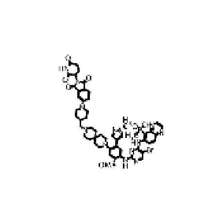 COc1cc(N2CCC3(CCN(CC4CCN(c5ccc6c(c5)C(=O)N(C5CCC(=O)NC5=O)C6=O)CC4)CC3)CC2)c(-c2cnn(C)c2)cc1Nc1ncc(Br)c(Nc2ccc3nccnc3c2P(C)(C)=O)n1